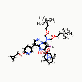 C[Si](C)(C)CCOCN(COCC[Si](C)(C)C)c1c(I)c([C@@H]2C[C@H]3CC[C@@H](C2)N3C(=O)O)nc2c(-c3ccc(OCC4CC4)nc3)cnn12